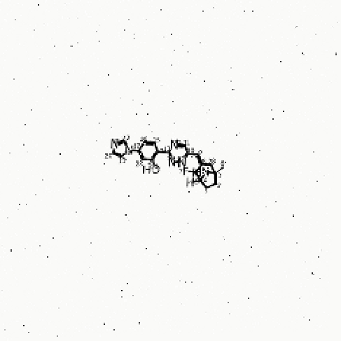 C[C@@]12CC[C@@H](N1)[C@@H](F)/C(=C\c1cnc(-c3ccc(-n4ccnc4)cc3O)nn1)C2